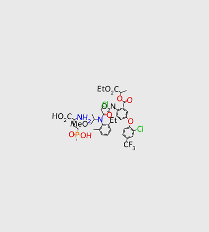 CCOC(=O)C(C)OC(=O)c1cc(Oc2ccc(C(F)(F)F)cc2Cl)ccc1[N+](=O)[O-].CCc1cccc(C)c1N(C(=O)CCl)C(C)COC.CP(=O)(O)CCC(N)C(=O)O